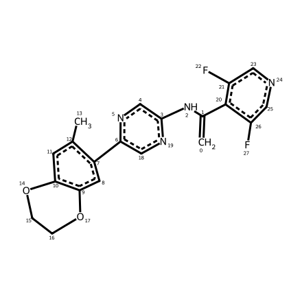 C=C(Nc1cnc(-c2cc3c(cc2C)OCCO3)cn1)c1c(F)cncc1F